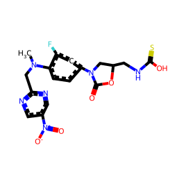 CN(Cc1ncc([N+](=O)[O-])cn1)c1ccc(N2CC(CNC(O)=S)OC2=O)cc1F